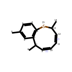 Cc1ccc2c(c1)C(C)/C=C\C=C/C(C)S2